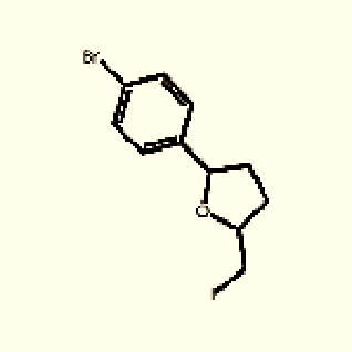 Brc1ccc(C2CCC(CI)O2)cc1